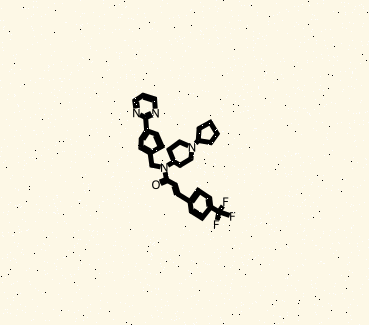 O=C(C=Cc1ccc(C(F)(F)F)cc1)N(Cc1ccc(-c2ncccn2)cc1)C1CCN(C2CCCC2)CC1